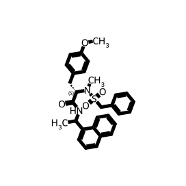 COc1ccc(C[C@@H](C(=O)NC(C)c2cccc3ccccc23)N(C)S(=O)(=O)Cc2ccccc2)cc1